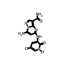 CCn1cc(Cl)cc(Nc2cc(N)n3ncc(C(N)=O)c3n2)c1=O